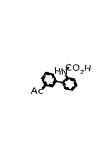 CC(=O)c1cccc(-c2ccccc2NC(=O)O)c1